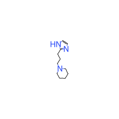 c1c[nH]c(CCCN2CCCCC2)n1